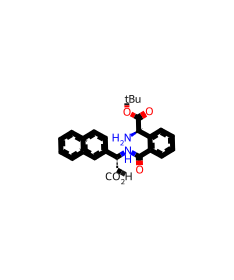 CC(C)(C)OC(=O)[C@H](N)c1ccccc1C(=O)N[C@H](CC(=O)O)c1ccc2ccccc2c1